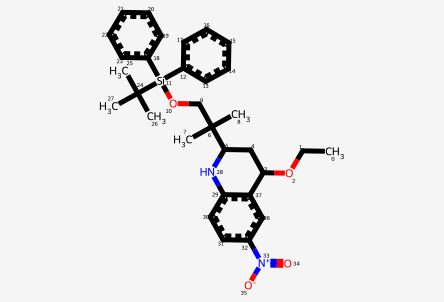 CCOC1CC(C(C)(C)CO[Si](c2ccccc2)(c2ccccc2)C(C)(C)C)Nc2ccc([N+](=O)[O-])cc21